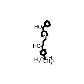 CC(C)(C)c1ccc([C@@H](O)CCCN2CCC(C(O)c3ccccc3)CC2)cc1